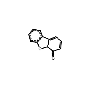 O=C1C=CC=C2c3ccccc3OC12